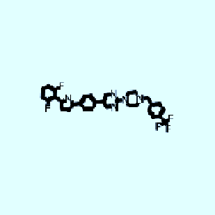 Fc1cccc(F)c1C1=NC(c2ccc(-c3cnc(N4CCN(Cc5ccc(C(F)(F)F)cc5)CC4)nc3)cc2)CC1